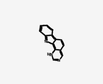 c1ccc2c(c1)nc1c2ccc2cnc[nH]c21